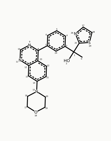 CC(O)(c1cccc(-c2ncnc3cc(N4CCOCC4)ccc23)c1)c1nccs1